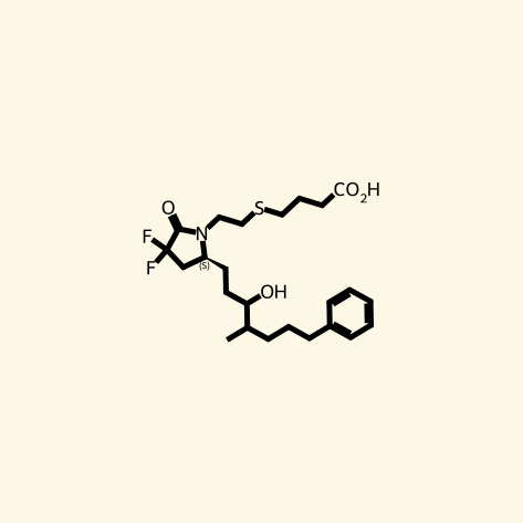 CC(CCCc1ccccc1)C(O)CC[C@H]1CC(F)(F)C(=O)N1CCSCCCC(=O)O